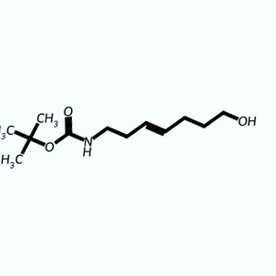 CC(C)(C)OC(=O)NCC/C=C/CCCO